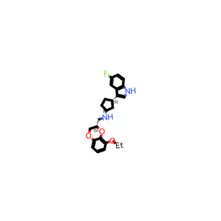 CCOc1cccc2c1O[C@@H](CN[C@@H]1CC[C@H](c3c[nH]c4ccc(F)cc34)C1)CO2